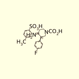 Cc1ccc(S(=O)(=O)O)cc1.N[C@@H]1CCN(C(=O)O)C[C@H]1c1ccc(F)cc1